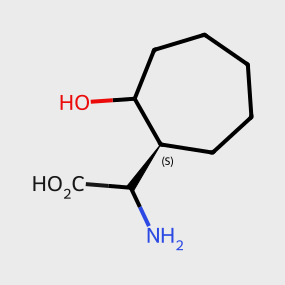 NC(C(=O)O)[C@@H]1CCCCCC1O